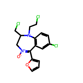 [O-][N+]1=C(c2ccco2)c2cc(Cl)ccc2N(CCCl)C(CCl)C1